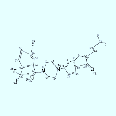 CC(C)CCN1Cc2cc(N3CCN(C(=O)c4cc(F)ccc4C(F)(F)F)CC3)ccc2C1=O